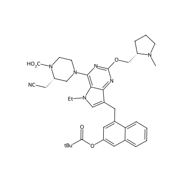 CCn1cc(Cc2cc(OC(=O)C(C)(C)C)cc3ccccc23)c2nc(OC[C@@H]3CCCN3C)nc(N3CCN(C(=O)O)[C@@H](CC#N)C3)c21